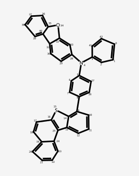 c1ccc(N(c2ccc(-c3cccc4c3sc3ccc5ccccc5c34)cc2)c2ccc3c(c2)oc2ccccc23)cc1